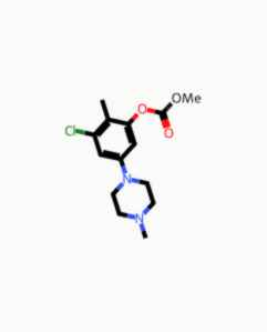 COC(=O)Oc1cc(N2CCN(C)CC2)cc(Cl)c1C